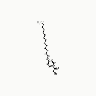 CCCCCCCCCCCCCCOc1ccc(C(=O)CBr)cc1